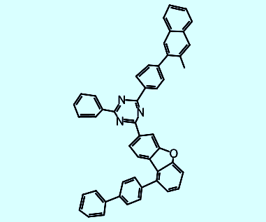 Cc1cc2ccccc2cc1-c1ccc(-c2nc(-c3ccccc3)nc(-c3ccc4c(c3)oc3cccc(-c5ccc(-c6ccccc6)cc5)c34)n2)cc1